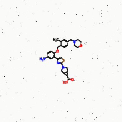 Cc1cc(CN2CCOCC2)ccc1COc1ccc(N)cc1-c1csc(N2CC3C(C2)C3C(=O)O)n1